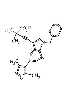 Cc1noc(C)c1-c1cnc2c(c1)c(C#CC(C)(C)C(=O)O)cn2Cc1ccccc1